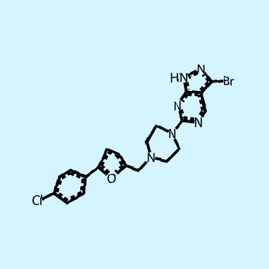 Clc1ccc(-c2ccc(CN3CCN(c4ncc5c(Br)n[nH]c5n4)CC3)o2)cc1